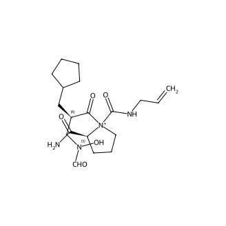 C=CCNC(=O)[N+]1(C(=O)[C@H](CC2CCCC2)CN(O)C=O)CCC[C@H]1C(N)=O